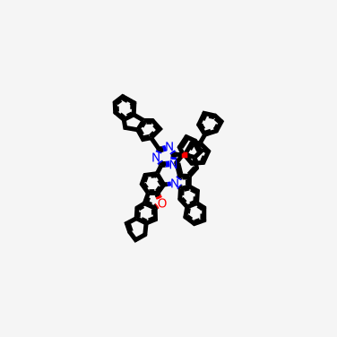 C1=CC2C=c3c(n(-c4c(-c5nc(-c6cccc(-c7ccccc7)c6)nc(-c6ccc7c(c6)Cc6ccccc6-7)n5)ccc5c4oc4cc6c(cc45)C=CCC6)c4cc5ccccc5cc34)=CC2C=C1